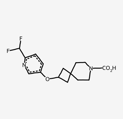 O=C(O)N1CCC2(CC1)CC(Oc1ccc(C(F)F)nc1)C2